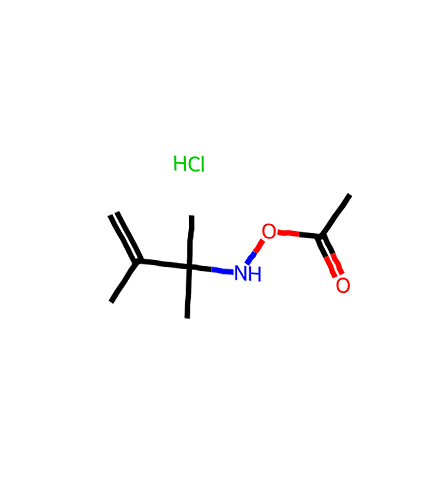 C=C(C)C(C)(C)NOC(C)=O.Cl